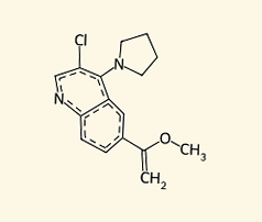 C=C(OC)c1ccc2ncc(Cl)c(N3CCCC3)c2c1